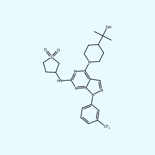 CC(C)(O)C1CCN(c2nc(NC3CCS(=O)(=O)C3)nc3c2cnn3-c2cccc(C(F)(F)F)c2)CC1